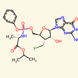 CC(C)OC(=O)[C@H](C)NP(=O)(OC[C@H]1O[C@@H](n2cnc3c(=O)[nH]c(N)nc32)[C@H](O)[C@@H]1CF)Oc1ccccc1